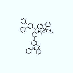 CC1(C)c2ccccc2-c2ccc(N(c3ccc(-c4ccc5c(c4)Sc4ccccc4N5c4ccccc4)cc3)c3ccc4c5ccccc5c5ccccc5c4c3)cc21